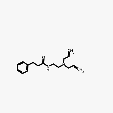 C=CCN(CC=C)CCNC(=O)CCc1ccccc1